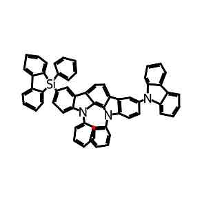 c1ccc(-n2c3ccc(-n4c5ccccc5c5ccccc54)cc3c3ccc4c5cc([Si]6(c7ccccc7)c7ccccc7-c7ccccc76)ccc5n(-c5ccccc5)c4c32)cc1